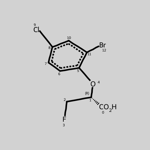 O=C(O)[C@H](CF)Oc1ccc(Cl)cc1Br